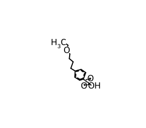 CCOCCCCc1ccc(S(=O)(=O)O)cc1